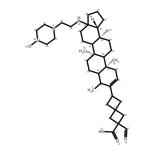 CC1C(C2CC3(C2)CC(C=O)(C(=O)O)C3)=CC[C@@]2(C)C1CC[C@@]1(C)C3CCC4(NCCN5CC[S+]([O-])CC5)CCC[C@@H]4[C@H]3CCC21